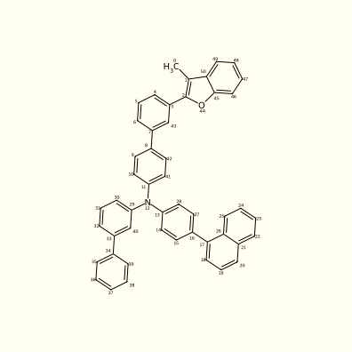 Cc1c(-c2cccc(-c3ccc(N(c4ccc(-c5cccc6ccccc56)cc4)c4cccc(-c5ccccc5)c4)cc3)c2)oc2ccccc12